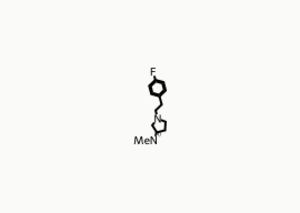 CN[C@@H]1CCN(CCc2ccc(F)cc2)C1